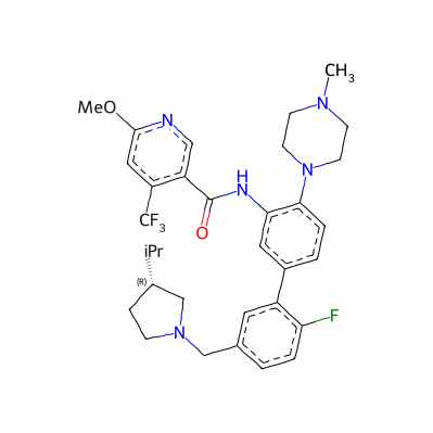 COc1cc(C(F)(F)F)c(C(=O)Nc2cc(-c3cc(CN4CC[C@H](C(C)C)C4)ccc3F)ccc2N2CCN(C)CC2)cn1